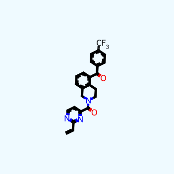 C=Cc1nccc(C(=O)N2CCc3c(cccc3C(=O)c3ccc(C(F)(F)F)cc3)C2)n1